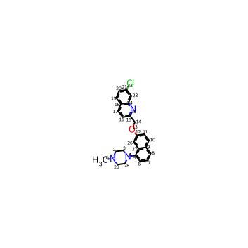 CN1CCN(c2cccc3ccc(OCc4ccc5ccc(Cl)cc5n4)cc23)CC1